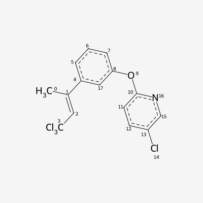 CC(=CC(Cl)(Cl)Cl)c1cccc(Oc2ccc(Cl)cn2)c1